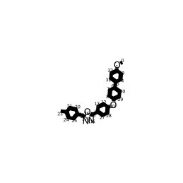 COc1ccc(-c2ccc(Oc3ccc(-c4nnc(-c5ccc(C)cc5)o4)cc3)cc2)cc1